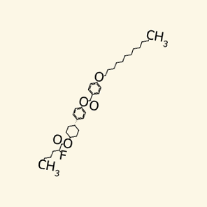 CCCCCCCCCCCCOc1ccc(C(=O)Oc2ccc([C@H]3CC[C@H](OC(=O)[C@@H](F)CCCC)CC3)cc2)cc1